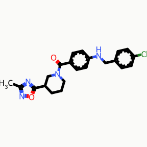 Cc1noc(C2CCCN(C(=O)c3ccc(NCc4ccc(Cl)cc4)cc3)C2)n1